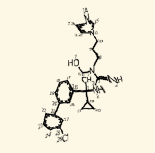 CC(NC(=N)N(CO)CCCn1ccnc1)(c1cccc(-c2cccc(Cl)c2)c1)C1CC1